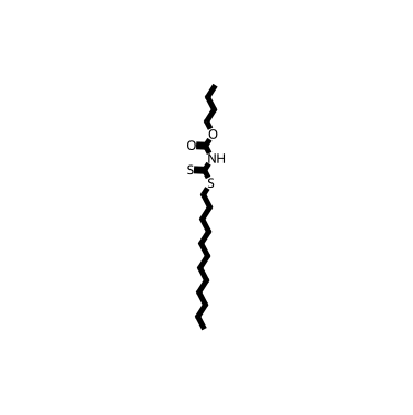 CCCCCCCCCCCCSC(=S)NC(=O)OCCCC